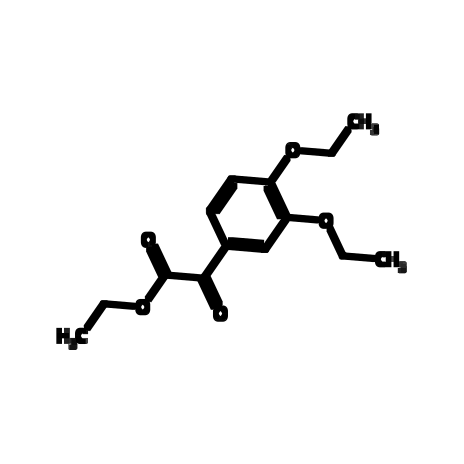 CCOC(=O)C(=O)c1ccc(OCC)c(OCC)c1